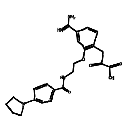 N=C(N)c1ccc(CC(=O)C(=O)O)c(OCCNC(=O)c2ccc(N3CCCC3)cc2)c1